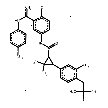 C=C(Nc1ccc(C)cc1)c1cc(NC(=O)C2C(c3ccc(CC(C)(C)F)c(C)c3)C2(C)C)ccc1Cl